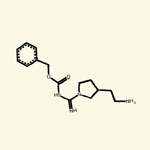 N=C(NC(=O)OCc1ccccc1)N1CCC(CCN)C1